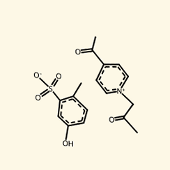 CC(=O)C[n+]1ccc(C(C)=O)cc1.Cc1ccc(O)cc1S(=O)(=O)[O-]